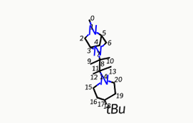 CN1CC2CC1CN2C(C)(C)C(C)(C)N1CCC(C(C)(C)C)CC1